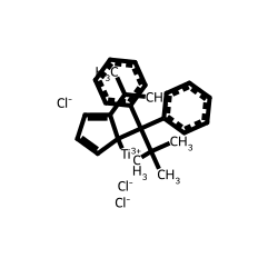 CC(C)C1=CC=C[C]1([Ti+3])C(c1ccccc1)(c1ccccc1)C(C)(C)C.[Cl-].[Cl-].[Cl-]